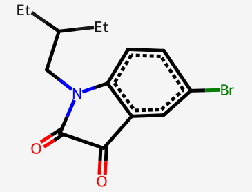 CCC(CC)CN1C(=O)C(=O)c2cc(Br)ccc21